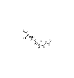 C=CC(=O)NCCOC(C)(C)CCCC